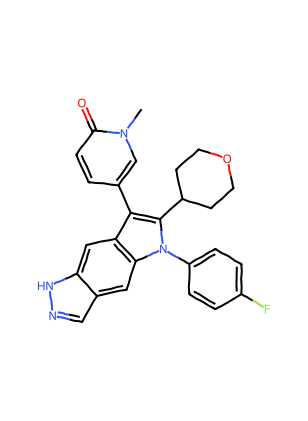 Cn1cc(-c2c(C3CCOCC3)n(-c3ccc(F)cc3)c3cc4cn[nH]c4cc23)ccc1=O